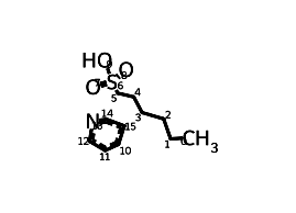 CCCCCCS(=O)(=O)O.c1ccncc1